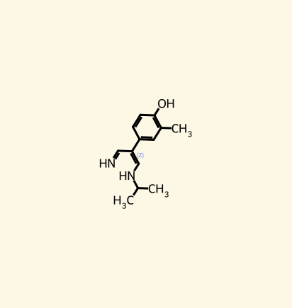 Cc1cc(/C(C=N)=C/NC(C)C)ccc1O